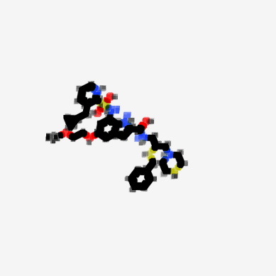 COCCOc1cc(NS(=O)(=O)c2ncccc2CC2CC2)c2[nH]c(C(=O)NCC(CN3CCSCC3)SCc3ccccc3)cc2c1